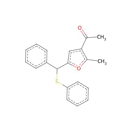 CC(=O)c1cc(C(Sc2ccccc2)c2ccccc2)oc1C